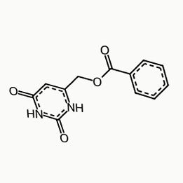 O=C(OCc1cc(=O)[nH]c(=O)[nH]1)c1ccccc1